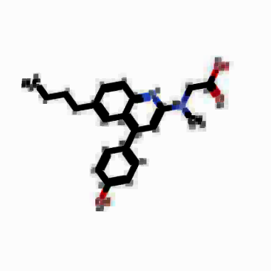 CCCCc1ccc2nc(N(C)CC(=O)O)cc(-c3ccc(O)cc3)c2c1